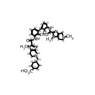 CN1CCc2c(nc(C(=O)Nc3cccc(-c4cccc(NC(=O)c5nc6c(n5C)CCN(C[C@H]5CC[C@H](C(=O)O)CC5)C6)c4C#N)c3Cl)n2C)C1